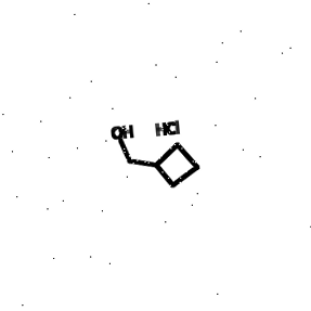 Cl.OCC1CCC1